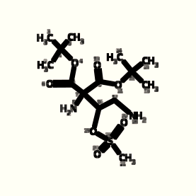 CC(C)(C)OC(=O)C(N)(C(=O)OC(C)(C)C)C(CN)OS(C)(=O)=O